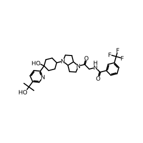 CC(C)(O)c1ccc(C2(O)CCC(N3CCC4C3CCN4C(=O)CNC(=O)c3cccc(C(F)(F)F)c3)CC2)nc1